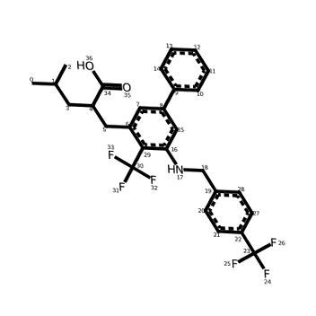 CC(C)CC(Cc1cc(-c2ccccc2)cc(NCc2ccc(C(F)(F)F)cc2)c1C(F)(F)F)C(=O)O